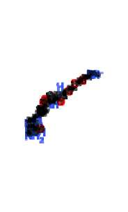 CC(C)COC(=O)C(CCC(=O)NCCOCCOCCOCCN=[N+]=[N-])NC(=O)c1ccc(NCc2cnc3nc(N)[nH]c(=O)c3n2)cc1